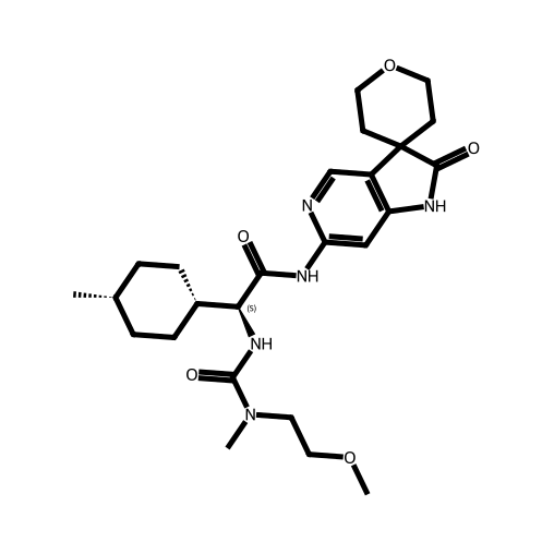 COCCN(C)C(=O)N[C@H](C(=O)Nc1cc2c(cn1)C1(CCOCC1)C(=O)N2)[C@H]1CC[C@@H](C)CC1